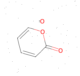 O=c1cccco1.[O]